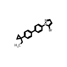 CCC1(c2ccc(-c3ccc(-n4nccc4Br)cc3)cc2)CC1